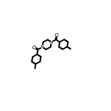 CC1CCC(C(=O)N2CCN(C(=O)C3CCC(C)CC3)CC2)CC1